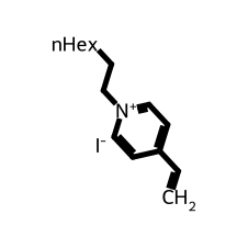 C=Cc1cc[n+](CCCCCCCC)cc1.[I-]